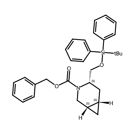 CC(C)(C)[Si](OC[C@@H]1C[C@@H]2C[C@@H]2CN1C(=O)OCc1ccccc1)(c1ccccc1)c1ccccc1